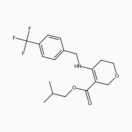 CC(C)COC(=O)C1=C(NCc2ccc(C(F)(F)F)cc2)CCOC1